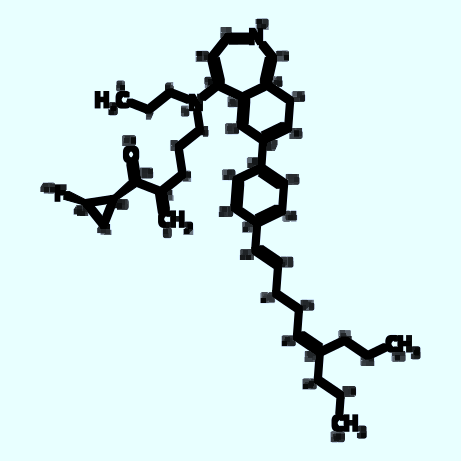 C=C(CCCN(CCC)C1=CC=NC=C2CC=C(c3ccc(/C=C/CCC=C(CCC)CCC)cc3)C=C21)C(=O)[C@H]1C[C@H]1F